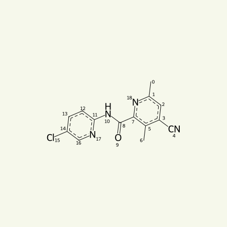 Cc1cc(C#N)c(C)c(C(=O)Nc2ccc(Cl)cn2)n1